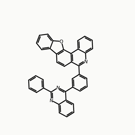 c1ccc(-c2nc(-c3cccc(-c4nc5ccccc5c5c4ccc4c6ccccc6oc45)c3)c3ccccc3n2)cc1